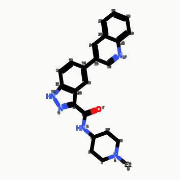 CCN1CCC(NC(=O)c2n[nH]c3ccc(-c4cnc5ccccc5c4)cc23)CC1